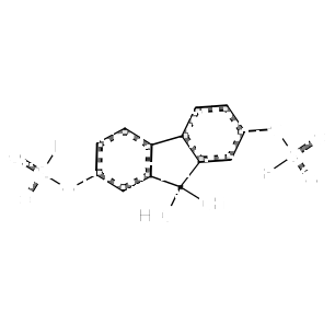 CC1(C)c2cc(OS(=O)(=O)F)ccc2-c2ccc(OS(=O)(=O)F)cc21